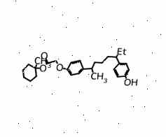 CCC(CCCC(C)c1ccc(OCC(=O)OC2(C)CCCCC2)cc1)c1ccc(O)cc1